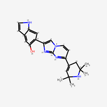 CC1(C)C=C(c2ccn3cc(-c4cc5[nH]ccc5cc4O)nc3n2)CC(C)(C)N1